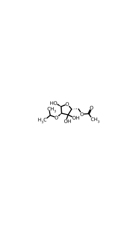 CC(=O)OC[C@H]1O[C@H](O)[C@H](OC(C)C)C1(O)O